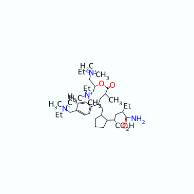 CCC(CC(C(=O)O)C1CCCC1CC(CC(C)C(=O)OC(C[N+](C)(C)CC)C[N+](C)(C)CC)c1ccc(C[N+](C)(C)CC)cc1)C(N)=O